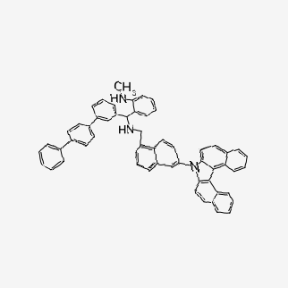 CNc1ccccc1C(NCc1cccc2cc(-n3c4ccc5ccccc5c4c4c5ccccc5ccc43)ccc12)c1cccc(-c2ccc(-c3ccccc3)cc2)c1